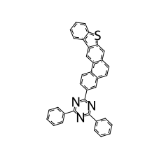 c1ccc(-c2nc(-c3ccccc3)nc(-c3ccc4c(ccc5cc6sc7ccccc7c6cc54)c3)n2)cc1